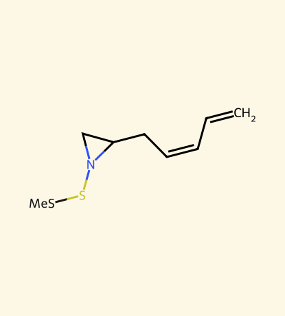 C=C/C=C\CC1CN1SSC